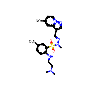 CN(C)CCNc1ccc([N+](=O)[O-])cc1S(=O)(=O)N(C)N=Cc1cnn2ccc(C#N)cc12